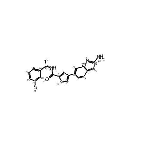 C[C@@H](NC(=O)c1cc(-c2ccc3nc(N)nn3c2)cs1)c1cccc(Cl)c1